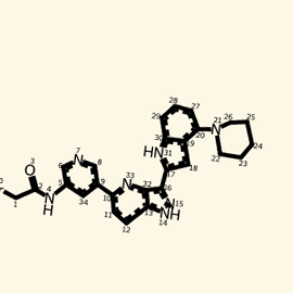 CC(C)CC(=O)Nc1cncc(-c2ccc3[nH]nc(-c4cc5c(N6CCCCC6)cccc5[nH]4)c3n2)c1